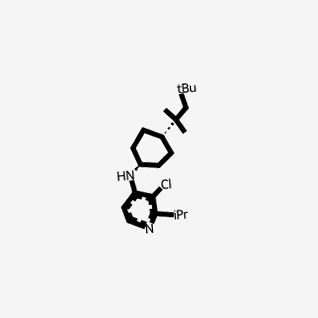 CC(C)c1nccc(N[C@H]2CC[C@@H](C(C)(C)CC(C)(C)C)CC2)c1Cl